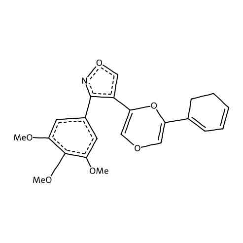 COc1cc(-c2nocc2C2=COC=C(C3=CC=CCC3)O2)cc(OC)c1OC